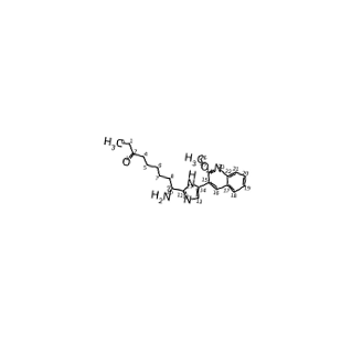 CCC(=O)CCCCC[C@H](N)c1ncc(-c2cc3ccccc3nc2OC)[nH]1